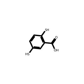 O=C(O)c1cc(S)ccc1S